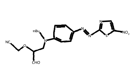 CCCCN(CC(C=O)OCC#N)c1ccc(N=Nc2ncc([N+](=O)[O-])s2)cc1